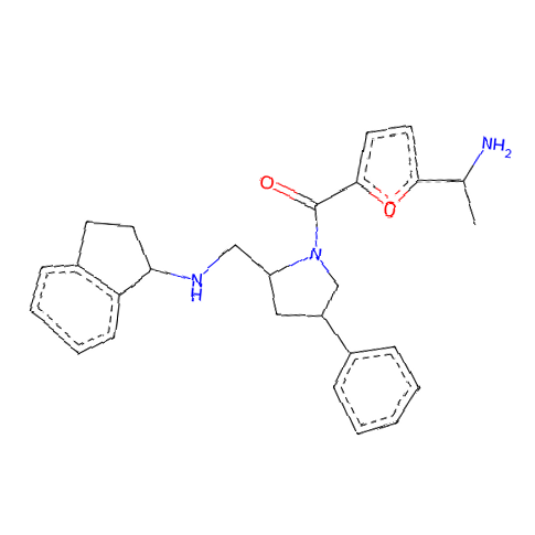 CC(N)c1ccc(C(=O)N2CC(c3ccccc3)CC2CNC2CCc3ccccc32)o1